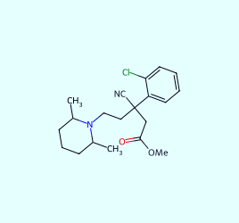 COC(=O)CC(C#N)(CCN1C(C)CCCC1C)c1ccccc1Cl